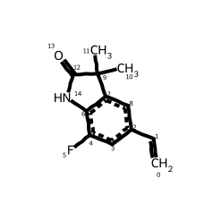 C=Cc1cc(F)c2c(c1)C(C)(C)C(=O)N2